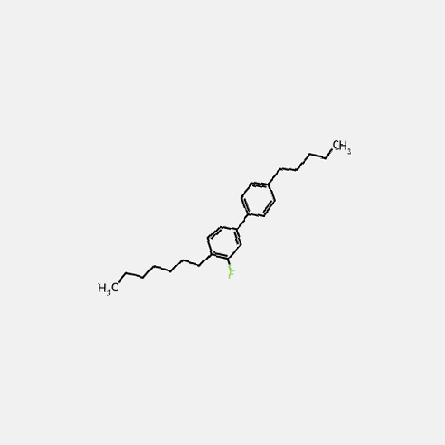 CCCCCCCc1ccc(-c2ccc(CCCCC)cc2)cc1F